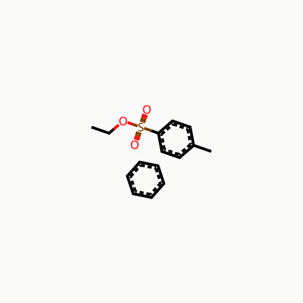 CCOS(=O)(=O)c1ccc(C)cc1.c1ccccc1